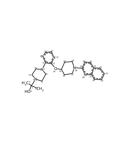 CC(C)(O)N1CCN(c2nccnc2OC2CCN(c3ccc4ccccc4n3)CC2)CC1